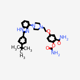 CC(C)(C)c1ccc(-c2nc3c(N4CCN(CCOc5ccc(OC(N)=O)c(C(N)=O)c5)CC4)cccc3[nH]2)cc1